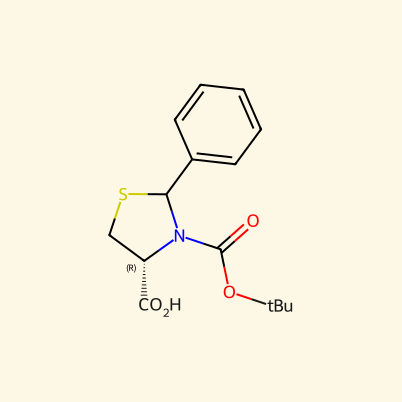 CC(C)(C)OC(=O)N1C(c2ccccc2)SC[C@H]1C(=O)O